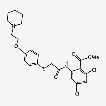 COC(=O)c1c(Cl)cc(Cl)cc1NC(=O)CSc1ccc(OCCN2CCCCC2)cc1